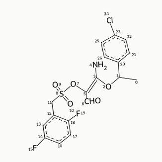 CC(O/C(N)=C(\C=O)OS(=O)(=O)Cc1cc(F)ccc1F)c1ccc(Cl)cc1